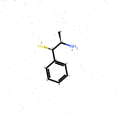 C[C@@H](N)[C@H](S)c1ccccc1